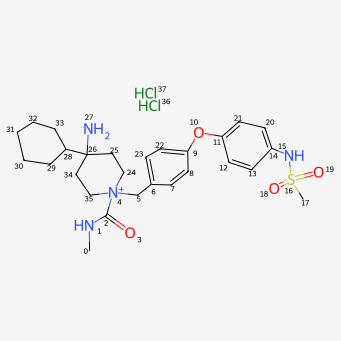 CNC(=O)[N+]1(Cc2ccc(Oc3ccc(NS(C)(=O)=O)cc3)cc2)CCC(N)(C2CCCCC2)CC1.Cl.Cl